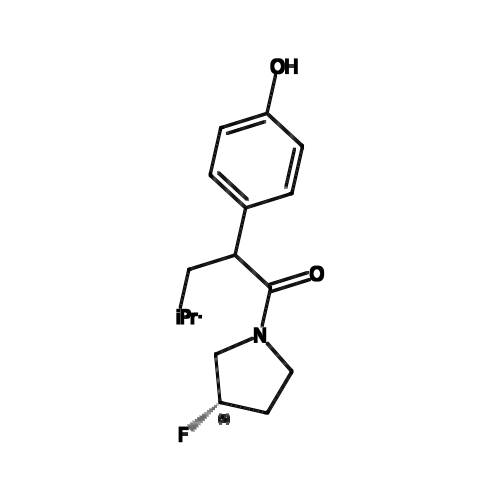 C[C](C)CC(C(=O)N1CC[C@H](F)C1)c1ccc(O)cc1